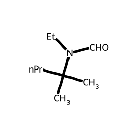 CCCC(C)(C)N(C=O)CC